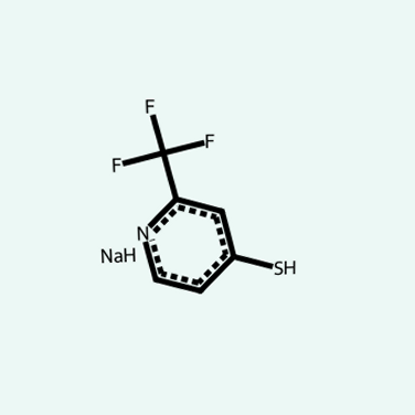 FC(F)(F)c1cc(S)ccn1.[NaH]